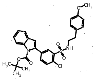 COc1ccc(CCNS(=O)(=O)c2cc(-c3cc4ccccc4n3C(=O)OC(C)(C)C)ccc2Cl)cc1